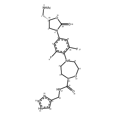 CC(=O)NC[C@H]1CN(c2cc(F)c(N3CCON(C(=O)NCc4c[nH]nn4)CC3)c(F)c2)C(=O)O1